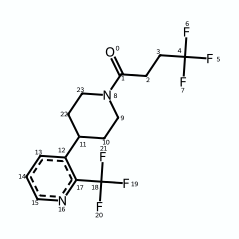 O=C(CCC(F)(F)F)N1CCC(c2cccnc2C(F)(F)F)CC1